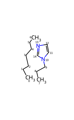 CCCCCCC.CCCn1ccnc1